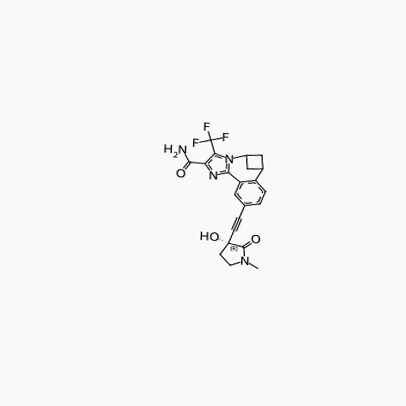 CN1CC[C@@](O)(C#Cc2ccc3c(c2)-c2nc(C(N)=O)c(C(F)(F)F)n2C2CC3C2)C1=O